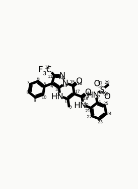 Cc1[nH]c2c(-c3ccccc3)c(C(F)(F)F)nn2c(=O)c1C(=O)Nc1ccccc1NS(C)(=O)=O